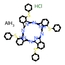 Cl.[AlH3].c1ccc(Sc2cccc3c2-c2nc-3nc3[nH]c(nc4nc(nc5[nH]c(n2)c2cccc(Sc6ccccc6)c52)-c2cccc(Sc5ccccc5)c2-4)c2cccc(Sc4ccccc4)c32)cc1